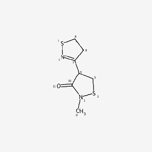 CN1SCC(C2=NSCC2)C1=O